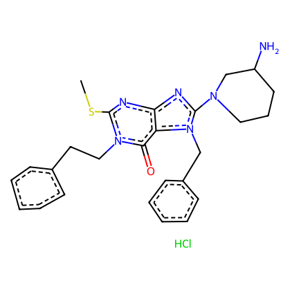 CSc1nc2nc(N3CCCC(N)C3)n(Cc3ccccc3)c2c(=O)n1CCc1ccccc1.Cl